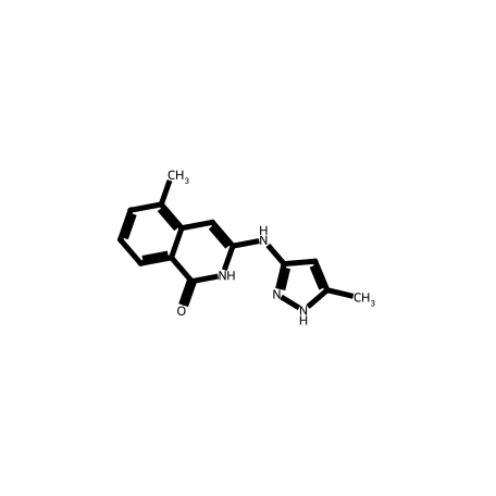 Cc1cc(Nc2cc3c(C)cccc3c(=O)[nH]2)n[nH]1